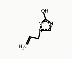 C=CCn1cnc(O)n1